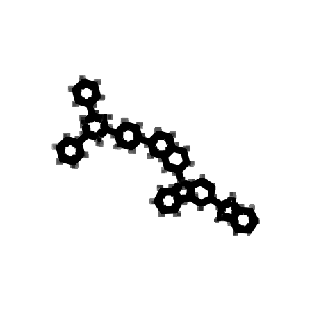 C1=CC(c2nc3ccccc3o2)Cc2c1n(C1=Cc3cc(-c4ccc(-c5nc(-c6ccccc6)nc(-c6ccccc6)n5)cc4)ccc3CC1)c1ccccc21